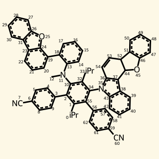 CC(C)c1c(-c2ccc(C#N)cc2)c(N(C)c2ccccc2-c2cccc3c2oc2ccccc23)c(C(C)C)c(-n2c3c(c4ccccc42)C2Oc4ccccc4C2C=C3)c1-c1ccc(C#N)cc1